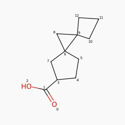 O=C(O)C1CCC2(C1)CC21CCC1